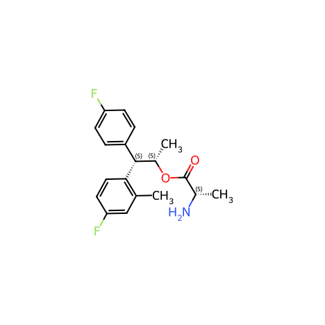 Cc1cc(F)ccc1[C@H](c1ccc(F)cc1)[C@H](C)OC(=O)[C@H](C)N